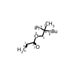 C=CC(=O)OCC(C)(CCCC)C(C)C